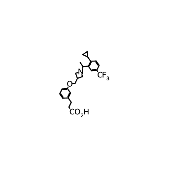 CC(c1cc(C(F)(F)F)ccc1C1CC1)N1CC(COc2cccc(CCC(=O)O)c2)C1